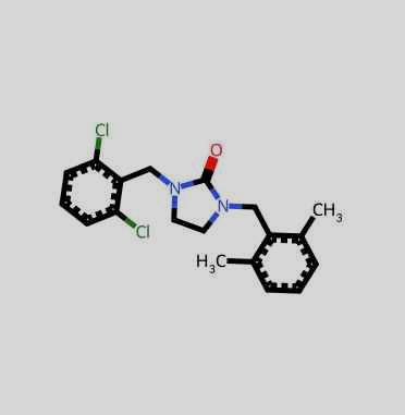 Cc1cccc(C)c1CN1CCN(Cc2c(Cl)cccc2Cl)C1=O